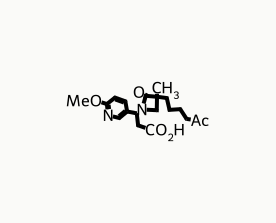 COc1ccc(C(CC(=O)O)N2CC(C)(CCCCC(C)=O)C2=O)cn1